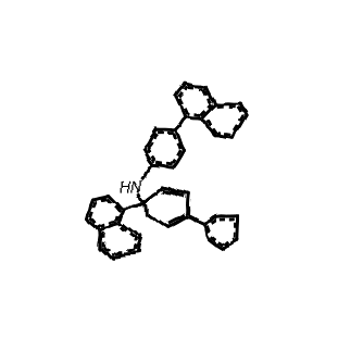 C1=CC(Nc2ccc(-c3cccc4ccccc34)cc2)(c2cccc3ccccc23)CC=C1c1ccccc1